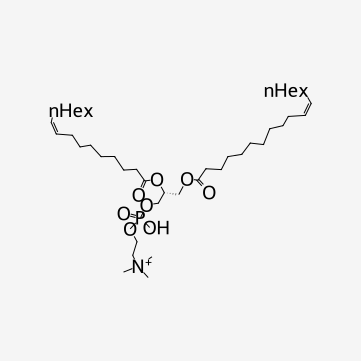 CCCCCC/C=C\CCCCCCCCCC(=O)OC[C@H](COP(=O)(O)OCC[N+](C)(C)C)OC(=O)CCCCCCC/C=C\CCCCCC